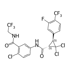 O=C(NCC(F)(F)F)c1cc(NC(=O)[C@@H]2[C@@H](c3ccc(C(F)(F)F)c(F)c3)C2(Cl)Cl)ccc1Cl